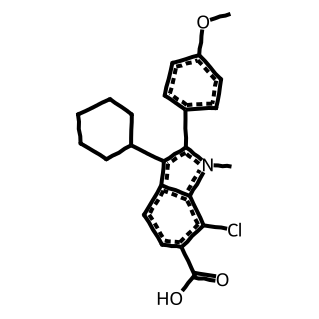 COc1ccc(-c2c(C3CCCCC3)c3ccc(C(=O)O)c(Cl)c3n2C)cc1